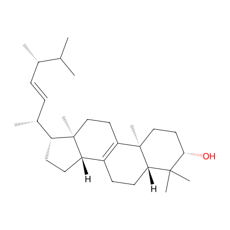 CC(C)[C@@H](C)/C=C/[C@@H](C)[C@H]1CC[C@H]2C3=C(CC[C@]12C)[C@@]1(C)CC[C@H](O)C(C)(C)[C@@H]1CC3